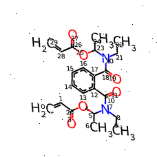 C=CC(=O)OC(C)N(CC)C(=O)c1ccccc1C(=O)N(CC)C(C)OC(=O)C=C